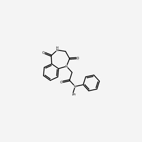 CC(C)N(C(=O)CN1C(=O)CNC(=O)c2ccccc21)c1ccccc1